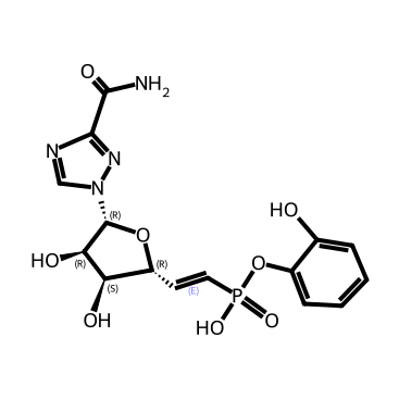 NC(=O)c1ncn([C@@H]2O[C@H](/C=C/P(=O)(O)Oc3ccccc3O)[C@@H](O)[C@H]2O)n1